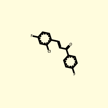 O=C(/C=C/c1ccc(F)cc1Cl)c1ccc(F)cc1